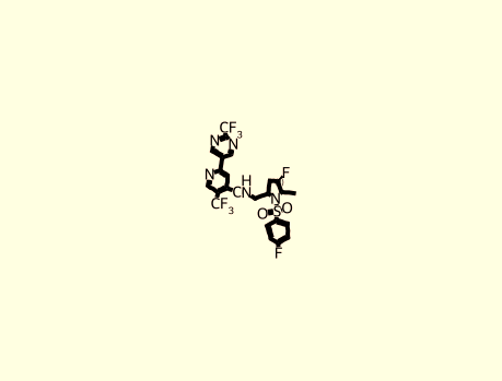 CC1[C@H](F)CC(CNCc2cc(-c3cnc(C(F)(F)F)nc3)ncc2C(F)(F)F)N1S(=O)(=O)c1ccc(F)cc1